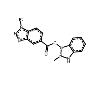 CCn1nnc2cc(C(=O)ON3c4ccccc4NN3C)ccc21